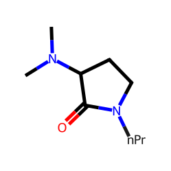 CCCN1CCC(N(C)C)C1=O